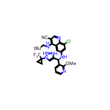 COc1ncccc1[C@H](Nc1cc(Cl)c2ncc(C#N)c(NCC(C)(C)C)c2c1)C1=CN(C2(C(F)(F)F)CC2)NN1